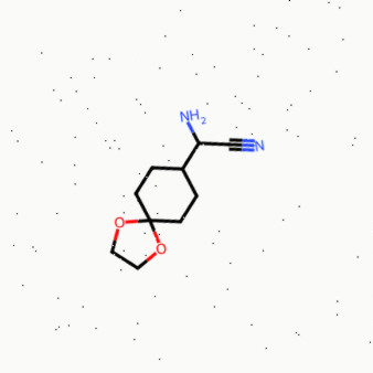 N#CC(N)C1CCC2(CC1)OCCO2